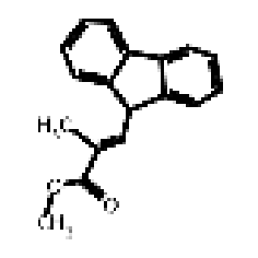 COC(=O)C(C)=CC1c2ccccc2-c2ccccc21